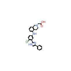 O=C(O)CN1CCc2c(cccc2Nc2ccc(Cl)c(-c3nc(-c4ccccc4)c[nH]3)c2)C1